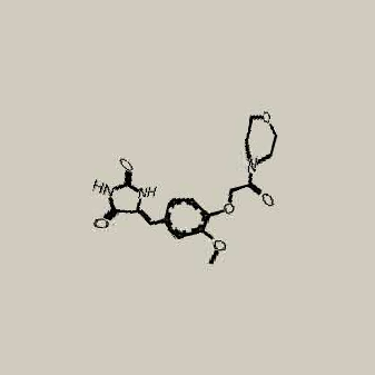 COc1cc(/C=C2\NC(=O)NC2=O)ccc1OCC(=O)N1CCOCC1